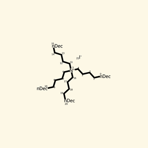 CCCCCCCCCCCCCC[N+](CCCCCCCCCCCCCC)(CCCCCCCCCCCCCC)CCCCCCCCCCCCCC.[I-]